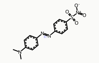 CN(C)c1ccc(/N=N/c2ccc(S(=O)(=O)[N+](=O)[O-])cc2)cc1